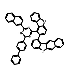 c1ccc(-c2ccc(C3N=C(c4c(-c5cccc6oc7cc8ccccc8cc7c56)ccc5oc6ccccc6c45)N=C(c4ccc5ccccc5c4)N3)cc2)cc1